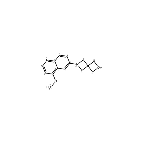 COc1ccnc2ccc(N3CC4(COC4)C3)cc12